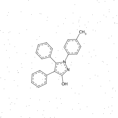 Cc1ccc(-n2nc(O)c(-c3ccccc3)c2-c2ccccc2)cc1